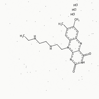 CCNCCNCCn1c2nc(=O)[nH]c(=O)c-2nc2cc(C)c(C)cc21.Cl.Cl.Cl